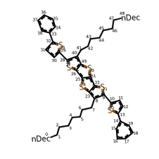 CCCCCCCCCCCCCCCCCc1c(-c2ccc(-c3ccccc3)s2)sc2c1sc1c3sc(-c4ccc(-c5ccccc5)s4)c(CCCCCCCCCCCCCCCCC)c3sc21